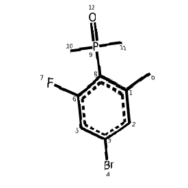 Cc1cc(Br)cc(F)c1P(C)(C)=O